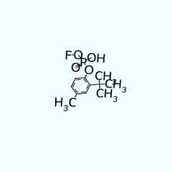 Cc1ccc(OP(=O)(O)OF)c(C(C)(C)C)c1